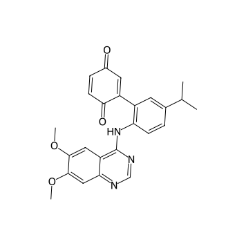 COc1cc2ncnc(Nc3ccc(C(C)C)cc3C3=CC(=O)C=CC3=O)c2cc1OC